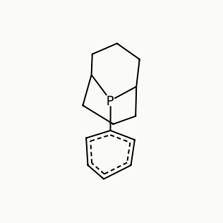 c1ccc(P2C3CCCC2CCC3)cc1